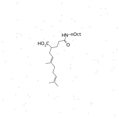 CCCCCCCCNC(=O)CCC(C/C=C(\C)CCC=C(C)C)C(=O)O